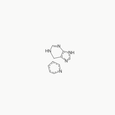 C1=Nc2[nH]cnc2CN1.c1ccncc1